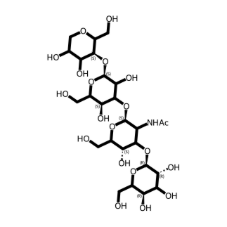 CC(=O)NC1C(O[C@@H]2OC(CO)[C@H](O)C(O)[C@H]2O)[C@H](O)C(CO)O[C@H]1OC1C(O)[C@H](O[C@@H]2C(CO)OCC(O)C2O)OC(CO)[C@@H]1O